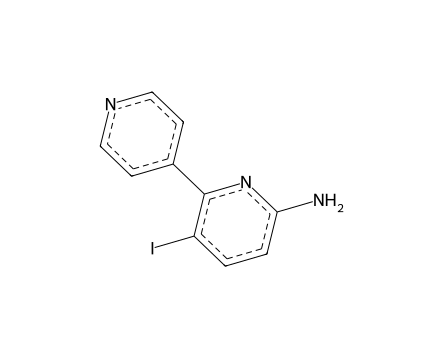 Nc1ccc(I)c(-c2ccncc2)n1